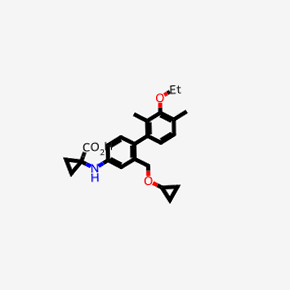 CCOc1c(C)ccc(-c2ccc(NC3(C(=O)O)CC3)cc2COC2CC2)c1C